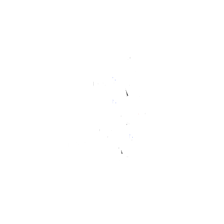 CCOC(=O)/C(C)=C/[C@H](C(C)C)N(C)C(=O)[C@@H](NC(=O)[C@@H]1CCCN1C)C(C)(C)C